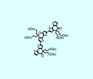 CCCCCCCCCCCCC1(CCCCCCCCCCCC)Oc2cc(-c3cc4c(s3)-c3sccc3C(=O)C4(CCCCCCCCCCCC)CCCCCCCCCCCC)sc2-c2sc(-c3cc4c(s3)-c3sccc3C(=O)C4(CCCCCCCCCCCC)CCCCCCCCCCCC)cc21